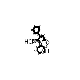 Cl.O=C1C=C(c2ccccc2)C(=O)N1[C@H]1CCCNC1